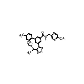 CCOC(C)c1nnnn1-c1cc(C(=O)NCc2cnc(C)cn2)cc(-c2ccc(C)cc2)c1